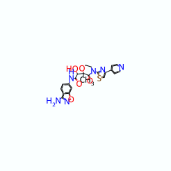 CC1(C(O)C(=O)Nc2ccc3c(N)noc3c2)OCCN(c2nc(-c3ccncc3)cs2)C1=O